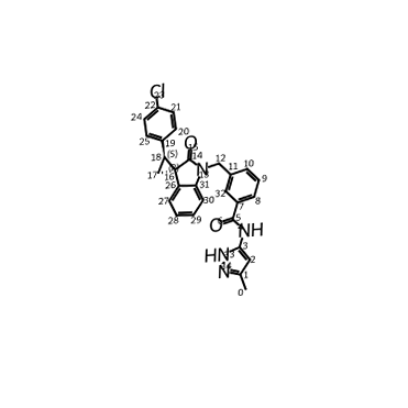 Cc1cc(NC(=O)c2cccc(CN3C(=O)[C@@]4(C[C@H]4c4ccc(Cl)cc4)c4ccccc43)c2)[nH]n1